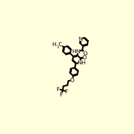 Cc1ccc(-c2cc(-c3ccc(OCCCC(F)(F)F)cc3)[nH]c(=O)c2NC(=O)c2cccnc2)cc1